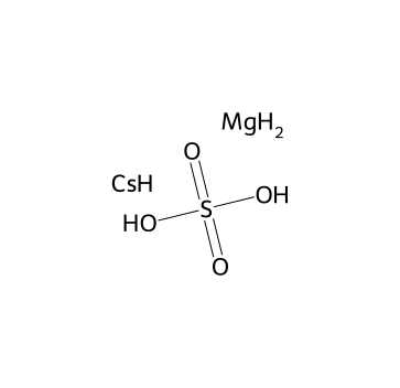 O=S(=O)(O)O.[CsH].[MgH2]